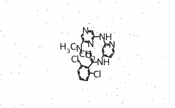 CN(C)c1cncc(Nc2cc(NC(=O)c3c(Cl)cccc3Cl)ccn2)n1